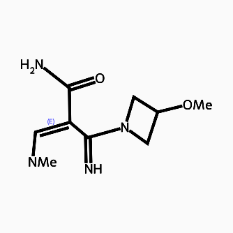 CN/C=C(\C(=N)N1CC(OC)C1)C(N)=O